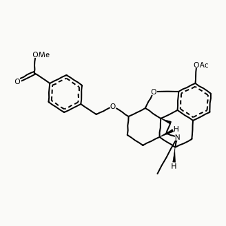 COC(=O)c1ccc(COC2CC[C@H]3[C@H]4Cc5ccc(OC(C)=O)c6c5[C@@]3(CCN4C)C2O6)cc1